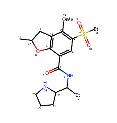 CCC(NC(=O)c1cc(S(=O)(=O)CC)c(OC)c2c1OC(C)C2)C1CCCN1